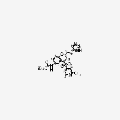 CC(C)COC(=O)Nc1ccc2c(c1)N(S(=O)(=O)c1ccnc(C(F)(F)F)c1)C[C@H](CCc1nnn[nH]1)O2